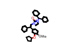 COc1ccc(/C(=C\n2ccn(C(c3ccccc3)c3ccccc3)c2=O)c2ccccc2)cc1OC1CCCC1